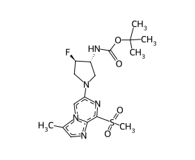 Cc1cnc2c(S(C)(=O)=O)nc(N3C[C@@H](F)[C@H](NC(=O)OC(C)(C)C)C3)cn12